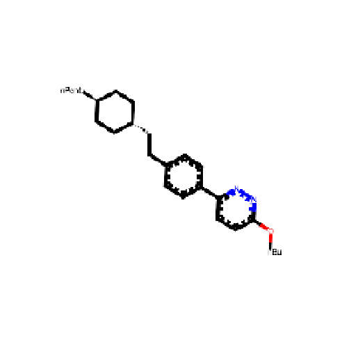 CCCCC[C@H]1CC[C@H](CCc2ccc(-c3ccc(OCCCC)nn3)cc2)CC1